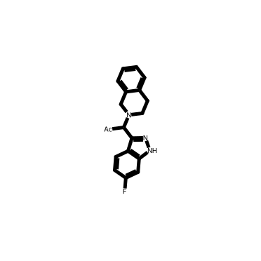 CC(=O)C(c1n[nH]c2cc(F)ccc12)N1CCc2ccccc2C1